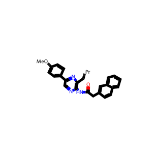 COc1ccc(-c2cnc(NC(=O)Cc3ccc4ccccc4c3)c(CC(C)C)n2)cc1